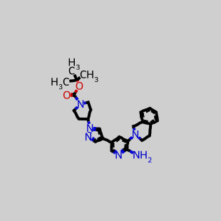 CC(C)(C)OC(=O)N1CCC(n2cc(-c3cnc(N)c(N4CCc5ccccc5C4)c3)cn2)CC1